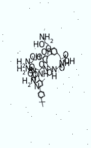 Cc1cc(-c2ccc(C(C)(C)C)cc2)nc(N)c1C(=O)N[C@@H](CNS(N)(=O)=O)C(=O)N(C)[C@@H]1C(=O)N[C@@H](C)C(=O)N[C@H](C(=O)O)Cc2ccc(OC[C@H](O)CN)c(c2)-c2cc1cc(OC[C@H](O)CN)c2O